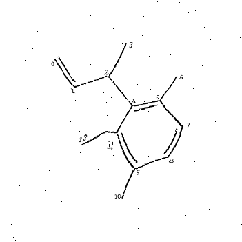 C=C[C](C)c1c(C)ccc(C)c1C